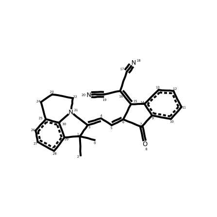 CC1(C)C(=CC=C2C(=O)c3ccccc3C2=C(C#N)C#N)N2CCCc3cccc1c32